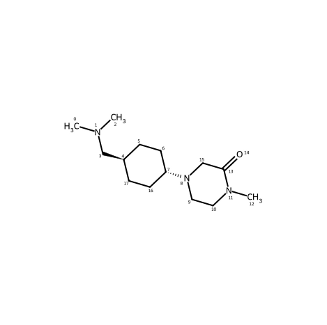 CN(C)C[C@H]1CC[C@H](N2CCN(C)C(=O)C2)CC1